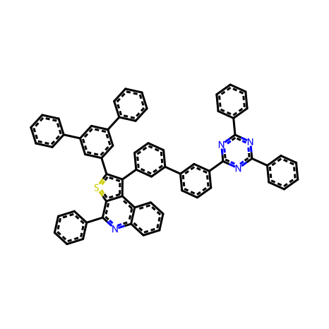 c1ccc(-c2cc(-c3ccccc3)cc(-c3sc4c(-c5ccccc5)nc5ccccc5c4c3-c3cccc(-c4cccc(-c5nc(-c6ccccc6)nc(-c6ccccc6)n5)c4)c3)c2)cc1